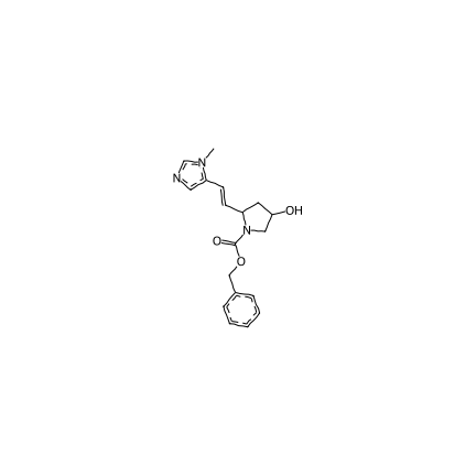 Cn1cncc1C=CC1CC(O)CN1C(=O)OCc1ccccc1